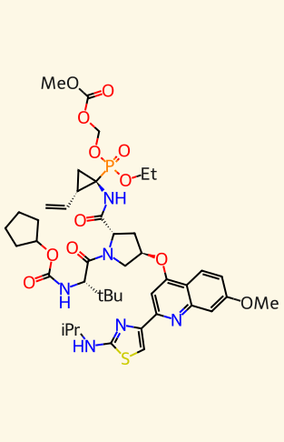 C=C[C@@H]1C[C@]1(NC(=O)[C@@H]1C[C@@H](Oc2cc(-c3csc(NC(C)C)n3)nc3cc(OC)ccc23)CN1C(=O)[C@@H](NC(=O)OC1CCCC1)C(C)(C)C)P(=O)(OCC)OCOC(=O)OC